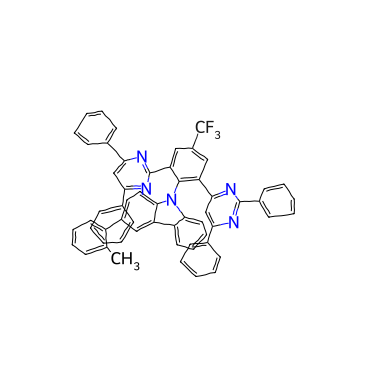 Cc1ccccc1-c1ccc2c(c1)c1ccccc1n2-c1c(-c2cc(-c3ccccc3)nc(-c3ccccc3)n2)cc(C(F)(F)F)cc1-c1nc(-c2ccccc2)cc(-c2ccccc2)n1